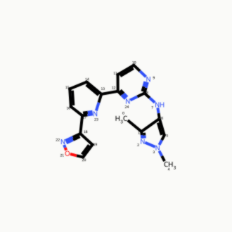 Cc1nn(C)cc1Nc1nccc(-c2cccc(-c3ccon3)n2)n1